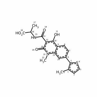 Cc1ccsc1-c1ccc2c(O)c(C(=O)NC(C)C(=O)O)c(=O)n(C)c2c1